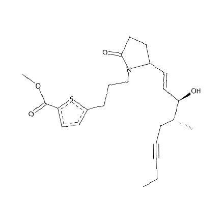 CCC#CC[C@@H](C)[C@H](O)C=CC1CCC(=O)N1CCCc1ccc(C(=O)OC)s1